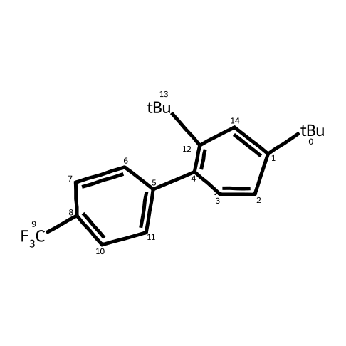 CC(C)(C)c1c[c]c(-c2ccc(C(F)(F)F)cc2)c(C(C)(C)C)c1